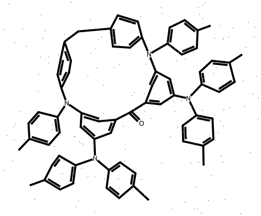 Cc1ccc(N(c2ccc(C)cc2)c2cc3cc(c2)N(c2ccc(C)cc2)c2ccc(cc2)Cc2ccc(cc2)N(c2ccc(C)cc2)c2cc(cc(N(c4ccc(C)cc4)c4ccc(C)cc4)c2)C3=O)cc1